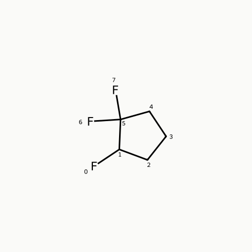 FC1CCCC1(F)F